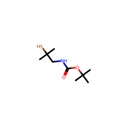 CC(C)(S)CNC(=O)OC(C)(C)C